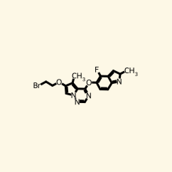 Cc1c(OCCBr)cn2ncnc(Oc3ccc4c(c3F)=CC(C)N=4)c12